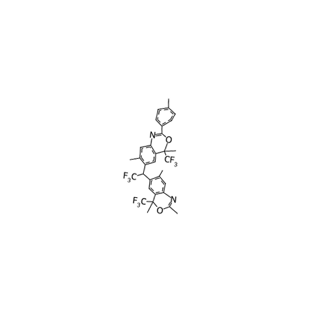 CC1=Nc2cc(C)c(C(c3cc4c(cc3C)N=C(c3ccc(C)cc3)OC4(C)C(F)(F)F)C(F)(F)F)cc2C(C)(C(F)(F)F)O1